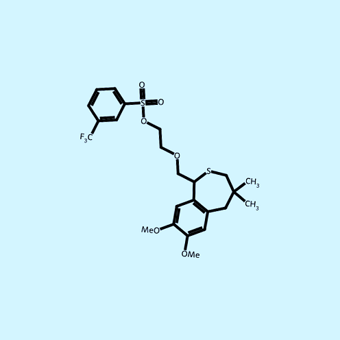 COc1cc2c(cc1OC)C(COCCOS(=O)(=O)c1cccc(C(F)(F)F)c1)SCC(C)(C)C2